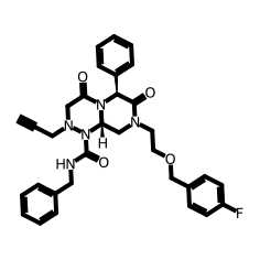 C#CCN1CC(=O)N2[C@@H](c3ccccc3)C(=O)N(CCOCc3ccc(F)cc3)C[C@@H]2N1C(=O)NCc1ccccc1